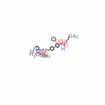 CC(=O)OCCCCS(=O)(=O)NC(=O)c1ccc(-c2ccc(CCN(C[C@@H](O[Si](C)(C)C(C)(C)C)c3cccnc3)C(=O)OC(C)(C)C)cc2)cc1OC1CCCCC1